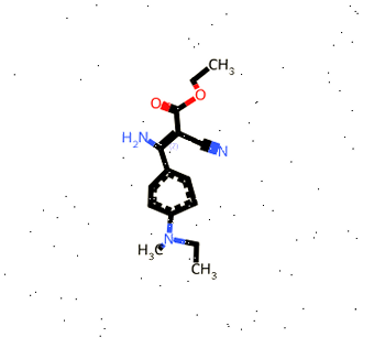 CCOC(=O)/C(C#N)=C(\N)c1ccc(N(C)CC)cc1